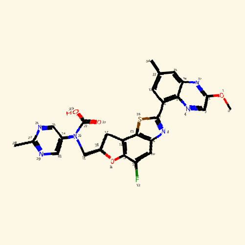 COc1cnc2c(-c3nc4cc(F)c5c(c4s3)CC(CN(C(=O)O)c3cnc(C)nc3)O5)cc(C)cc2n1